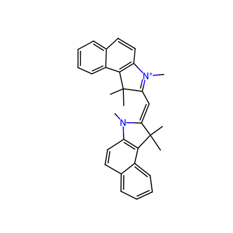 CN1C(=CC2=[N+](C)c3ccc4ccccc4c3C2(C)C)C(C)(C)c2c1ccc1ccccc21